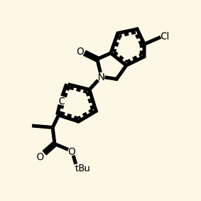 CC(C(=O)OC(C)(C)C)c1ccc(N2Cc3cc(Cl)ccc3C2=O)cc1